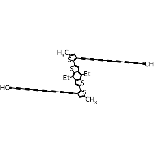 C#CC#CC#CC#CC#CC#CC#CC#Cc1cc(C)sc1-c1cc2c(CC)c3sc(-c4sc(C)cc4C#CC#CC#CC#CC#CC#CC#CC#C)cc3c(CC)c2s1